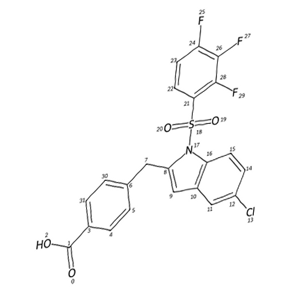 O=C(O)c1ccc(Cc2cc3cc(Cl)ccc3n2S(=O)(=O)c2ccc(F)c(F)c2F)cc1